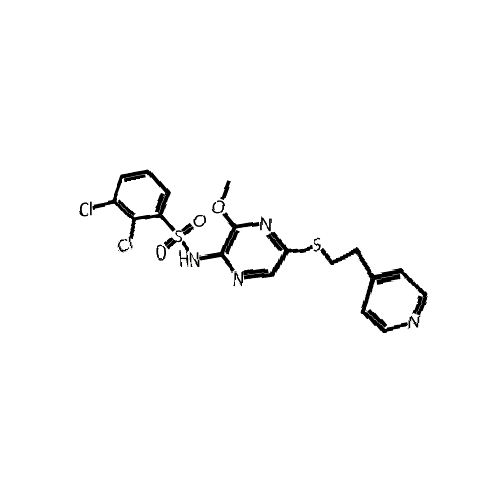 COc1nc(SCCc2ccncc2)cnc1NS(=O)(=O)c1cccc(Cl)c1Cl